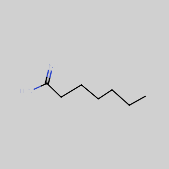 [CH2]CCCCCC(=N)N